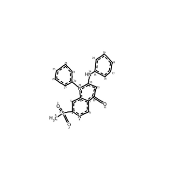 CS(=O)(=O)c1cc2c(cn1)c(=O)cc(Nc1ccccc1)n2-c1ccccc1